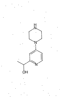 CC(O)c1cc(N2CCNCC2)ccn1